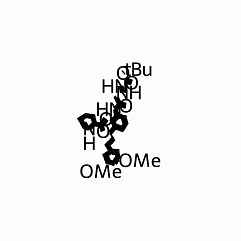 COc1ccc(CC[C@@H](OC(=O)C2CCCCN2)c2cccc(NC(=O)CNNC(=O)OC(C)(C)C)c2)cc1OC